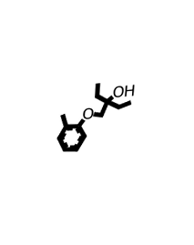 CCC(O)(CC)COc1ccccc1C